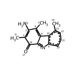 CC1=C(N)C(C)=C2C(=Nc3cccc(C)c32)C1=O